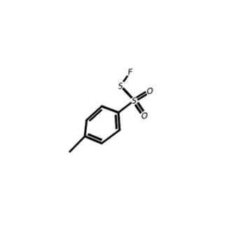 Cc1ccc(S(=O)(=O)SF)cc1